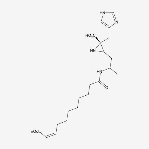 CCCCCCCC/C=C\CCCCCCCC(=O)NC(C)CC1N[C@@]1(Cc1c[nH]cn1)C(=O)O